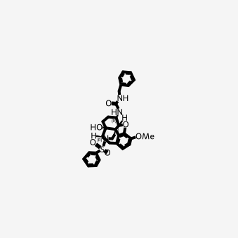 COc1ccc2c3c1O[C@H]1[C@H](NC(=O)NCc4ccccc4)CC[C@@]4(O)[C@@H](C2)N(S(=O)(=O)c2ccccc2)CC[C@]314